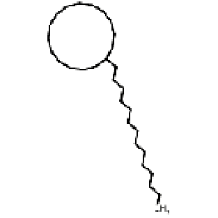 CCCCCCCCCCCCCCC1CCCCCCCCCCCCCCC1